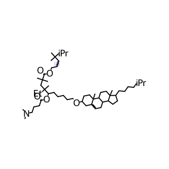 CCC(C)(CC(C)(C)C(=O)OC/C=C\C(C)(C)C(C)C)C(CCCCCOC1CCC2(C)C(=CCC3C2CCC2(C)C(CCCCC(C)C)CCC32)C1)OC(=O)CCCN(C)C